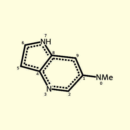 CNc1cnc2cc[nH]c2c1